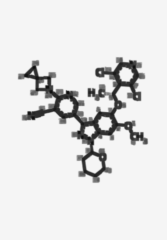 COc1cc2c(cc1O[C@H](C)c1c(Cl)cncc1Cl)c(-c1cnc(N3CC4(CC4)C3)c(C#N)c1)nn2C1CCCCO1